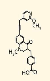 COc1cc(CC#Cc2ccc3c(c2)C(=O)C(Cc2ccc(C(=O)O)cc2)CN3C)ccn1